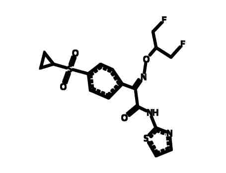 O=C(Nc1nccs1)/C(=N/OC(CF)CF)c1ccc(S(=O)(=O)C2CC2)cc1